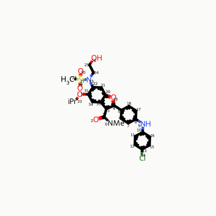 CNC(=O)c1c(-c2ccc(Nc3ccc(Cl)cc3)cc2)oc2cc(N(CCO)S(C)(=O)=O)c(OC(C)C)cc12